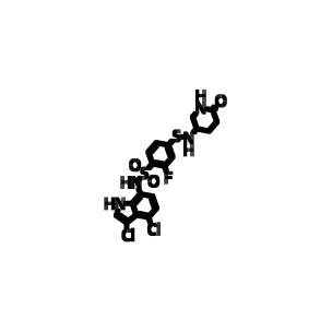 O=C1CCC(NSc2ccc(S(=O)(=O)Nc3ccc(Cl)c4c(Cl)c[nH]c34)c(F)c2)CN1